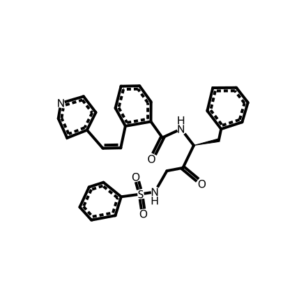 O=C(N[C@@H](Cc1ccccc1)C(=O)CNS(=O)(=O)c1ccccc1)c1ccccc1C=Cc1ccncc1